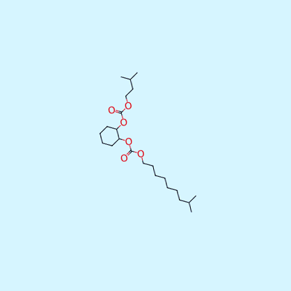 CC(C)CCCCCCCOC(=O)OC1CCCCC1OC(=O)OCCC(C)C